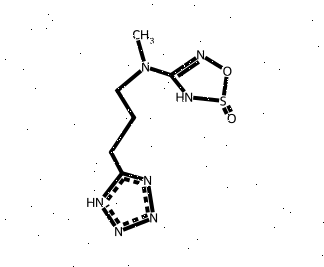 CN(CCCc1nnn[nH]1)C1=NOS(=O)N1